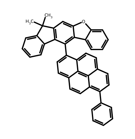 CC1(C)c2ccccc2-c2c1cc1oc3ccccc3c1c2-c1ccc2ccc3c(-c4ccccc4)ccc4ccc1c2c43